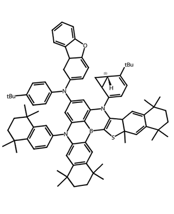 CC(C)(C)C1=CC=C(N2C3=C(SC4(C)C=C5C(=CC34)C(C)(C)CCC5(C)C)B3c4cc5c(cc4N(c4ccc6c(c4)C(C)(C)CCC6(C)C)c4cc(N(C6=CC=C7Oc8ccccc8C7C6)c6ccc(C(C)(C)C)cc6)cc2c43)C(C)(C)CCC5(C)C)C2C[C@H]12